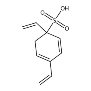 C=CC1=CCC(C=C)(S(=O)(=O)O)C=C1